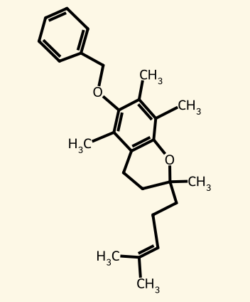 CC(C)=CCCC1(C)CCc2c(C)c(OCc3ccccc3)c(C)c(C)c2O1